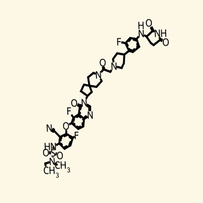 CCN(C)S(=O)(=O)Nc1ccc(F)c(Oc2ccc3ncn(C4CCC5(CCN(C(=O)CN6CCC(c7ccc(NC8CCC(=O)NC8=O)cc7F)CC6)CC5)C4)c(=O)c3c2F)c1C#N